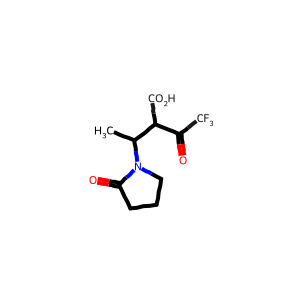 CC(C(C(=O)O)C(=O)C(F)(F)F)N1CCCC1=O